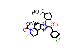 COC(=O)N1c2ccc3c(nc(C(O)c4ccc(Cl)cc4)n3C3CCCC(C(=O)O)C3)c2CC[C@@H]1C